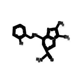 CCc1ccccc1CNc1cc(C(N)=O)cn2c(C)c(C)nc12